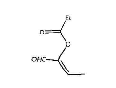 C/C=C(/C=O)OC(=O)CC